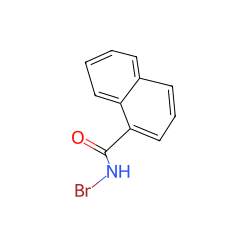 O=C(NBr)c1cccc2ccccc12